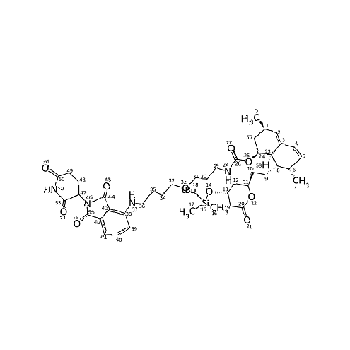 C[C@H]1C=C2C=C[C@H](C)[C@H](CC[C@@H]3C[C@@H](O[Si](C)(C)C(C)(C)C)CC(=O)O3)[C@H]2[C@@H](OC(=O)NCCCOCCCCNc2cccc3c2C(=O)N(C2CCC(=O)NC2=O)C3=O)C1